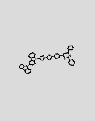 c1ccc(-c2cc(-c3ccc(-c4ccc(-c5ccc(-n6c7ccccc7c7cc(-n8c9ccccc9c9ccccc98)ccc76)cc5)cc4)cc3)nc(-c3ccccc3)n2)cc1